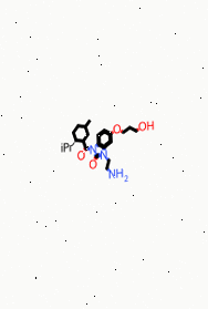 CC1CC[C@@H](C(C)C)C(C(=O)n2c(=O)n(CCN)c3cc(OCCCO)ccc32)C1